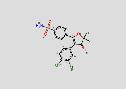 CC1(C)OC(c2ccc(S(N)(=O)=O)cc2)=C(c2ccc(Cl)c(Cl)c2)C1=O